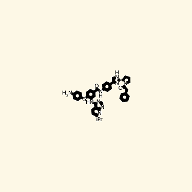 CC(C)c1ccc2c(Nc3cc(C(=O)Nc4ccc(-c5c[nH]c([C@@H]6CCCN6C(=O)Cc6ccccc6)n5)cc4)ccc3Sc3ccc(N)cc3)ncnc2n1